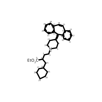 CCOC(=O)C(CCN1CCC(=C2c3ccccc3C=Cc3ccccc32)CC1)CC1CCCCC1